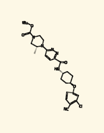 C[C@@H]1CN(C(=O)OC(C)(C)C)CCN1c1ccc(C(=O)N[C@H]2CC[C@H](Oc3ccc(C#N)c(Cl)c3)CC2)nn1